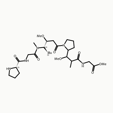 CC[C@H](C)[C@@H](C(CC(=O)N1CCCC1C(OC)C(C)C(=O)NCC(=O)OC)OC)N(C)C(=O)CNC(=O)[C@@H]1CCCN1